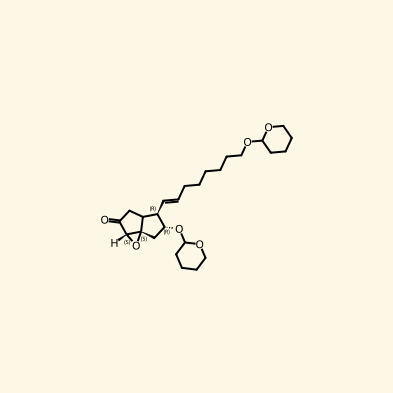 O=C1CC2[C@@H](C=CCCCCCCOC3CCCCO3)[C@H](OC3CCCCO3)C[C@]23O[C@H]13